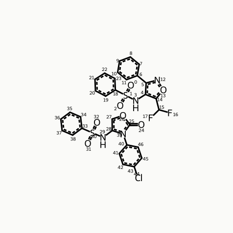 O=S(=O)(Nc1c(-c2ccccc2)noc1C(F)F)c1ccccc1.O=c1occ(NS(=O)(=O)c2ccccc2)n1-c1ccc(Cl)cc1